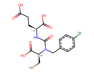 O=C(O)CC[C@H](NC(=O)N(Cc1ccc([18F])cc1)[C@@H](CS)C(=O)O)C(=O)O